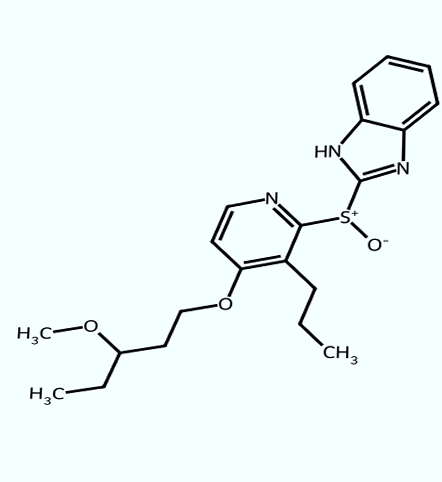 CCCc1c(OCCC(CC)OC)ccnc1[S+]([O-])c1nc2ccccc2[nH]1